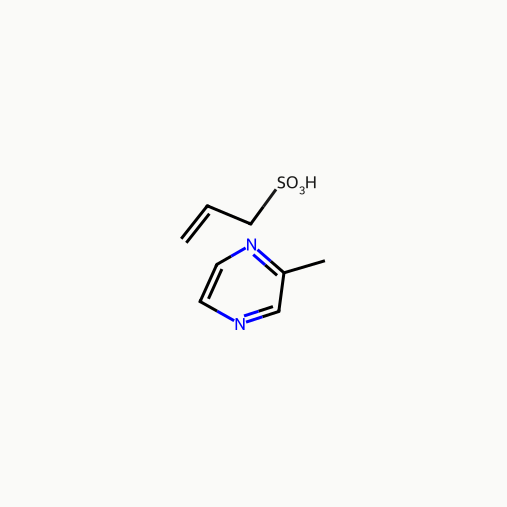 C=CCS(=O)(=O)O.Cc1cnccn1